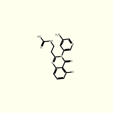 Nc1cncc(-n2c(CCNC(=O)O)nc3cccc(Cl)c3c2=O)c1